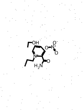 CCC[n+]1ccccc1C(N)=O.CCO.O=[N+]([O-])[O-]